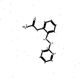 NC(=O)Cc1ccccc1SSc1ccccn1